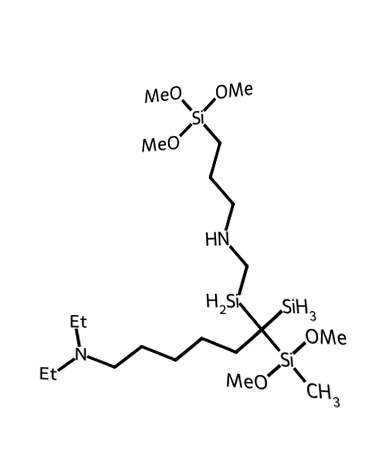 CCN(CC)CCCCCC([SiH3])([SiH2]CNCCC[Si](OC)(OC)OC)[Si](C)(OC)OC